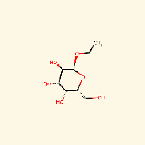 CCO[C@H]1O[C@H](CO)[C@H](O)[C@H](O)[C@H]1O